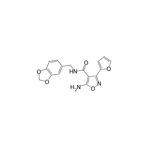 Nc1onc(-c2ccco2)c1C(=O)NCc1ccc2c(c1)OCO2